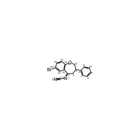 N#C/N=C1/CC(c2ccccc2)COc2ccc(Br)cc21